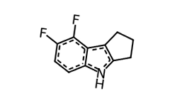 Fc1ccc2[nH]c3c(c2c1F)CCC3